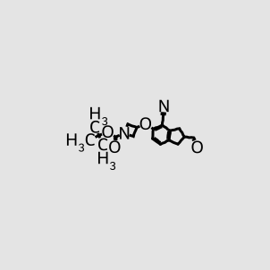 CC(C)(C)OC(=O)N1CC(Oc2ccc3c(c2C#N)CC(C=O)C3)C1